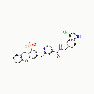 CS(=O)(=O)c1cc(Cc2cc(C(=O)NCc3ccc4[nH]cc(Cl)c4c3)ccn2)ccc1Cn1ccccc1=O